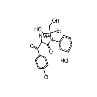 CCC(CO)(CO)N(C(=O)C(NC)C(=O)c1ccc(Cl)cc1)c1ccccc1.Cl